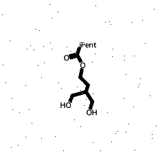 CCCC(C)C(=O)OCCC(CO)CO